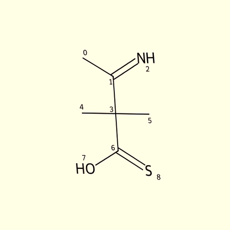 CC(=N)C(C)(C)C(O)=S